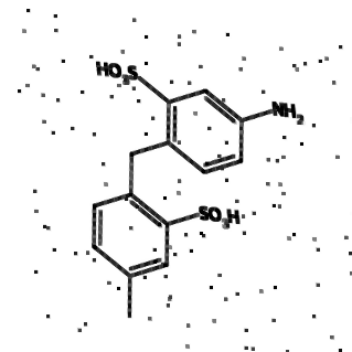 Cc1ccc(Cc2ccc(N)cc2S(=O)(=O)O)c(S(=O)(=O)O)c1